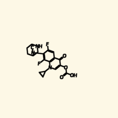 O=C(O)Oc1cn(C2CC2)c2c(F)c(N3CC4CCC3CN4)c(F)cc2c1=O